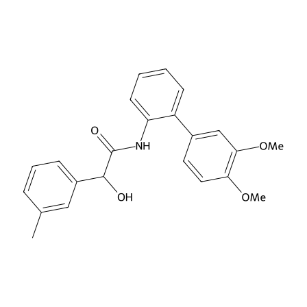 COc1ccc(-c2ccccc2NC(=O)C(O)c2cccc(C)c2)cc1OC